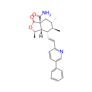 C[C@H]1[C@H](/C=C/c2ccc(-c3ccccc3)cn2)[C@@H]2[C@@H](C)OC(=O)[C@]2(C(N)=O)C[C@@H]1C